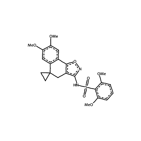 COc1cc2c(cc1OC)C1(CC1)Cc1c(NS(=O)(=O)c3c(OC)cccc3OC)noc1-2